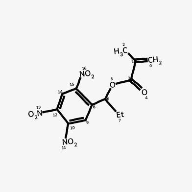 C=C(C)C(=O)OC(CC)c1cc([N+](=O)[O-])c([N+](=O)[O-])cc1[N+](=O)[O-]